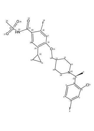 C[C@@H](c1ccc(F)cc1Cl)N1CCC(COc2cc(F)c(C(=O)NS(C)(=O)=O)cc2C2CC2)CC1